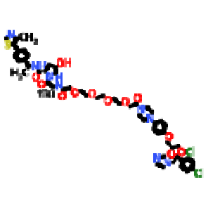 Cc1ncsc1-c1ccc([C@H](C)NC(=O)[C@@H]2C[C@@H](O)CN2C(=O)[C@@H](NC(=O)COCCOCCOCCOCC(=O)N2CCN(c3ccc(OC[C@H]4CO[C@](Cn5ccnc5)(c5ccc(Cl)cc5Cl)O4)cc3)CC2)C(C)(C)C)cc1